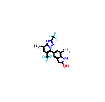 Cc1cc(-c2c(C(F)(F)F)cc(C)c3nc(C(F)(F)F)nn23)cc2c1NC(O)C2